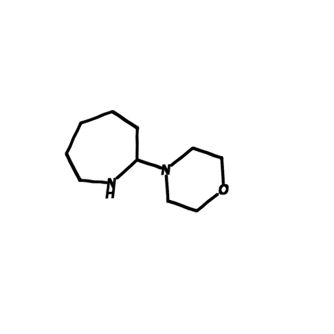 C1CCNC(N2CCOCC2)CC1